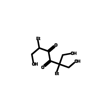 CCC(CO)C(=O)C(=O)C(CC)(CO)CO